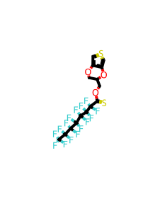 FC(F)(F)C(F)(F)C(F)(F)C(F)(F)C(F)(F)C(F)(F)C(F)(F)C(=S)OCC1COc2cscc2O1